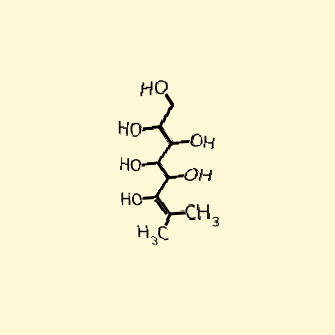 CC(C)=C(O)C(O)C(O)C(O)C(O)CO